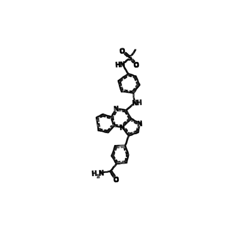 CS(=O)(=O)Nc1ccc(Nc2nc3ccccc3n3c(-c4ccc(C(N)=O)cc4)cnc23)cc1